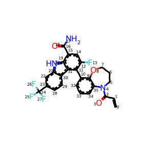 C=CC(=O)N1CCCOc2c(-c3c(F)cc(C(N)=O)c4[nH]c5cc(C(F)(F)F)ccc5c34)cccc21